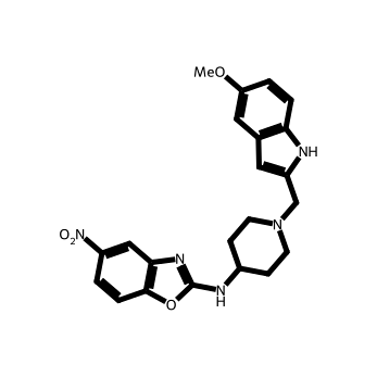 COc1ccc2[nH]c(CN3CCC(Nc4nc5cc([N+](=O)[O-])ccc5o4)CC3)cc2c1